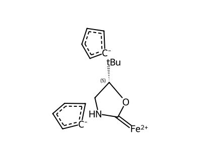 CC(C)(C)[C@H]1CN[C](=[Fe+2])O1.c1cc[cH-]c1.c1cc[cH-]c1